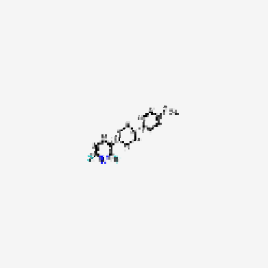 CCCCc1ccc([C@H]2CC[C@H](c3ccc(F)nc3F)CC2)cc1